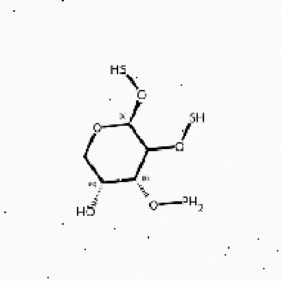 O[C@@H]1CO[C@@H](OS)C(OS)[C@@H]1OP